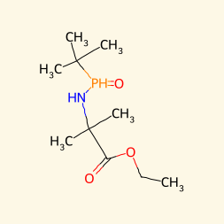 CCOC(=O)C(C)(C)N[PH](=O)C(C)(C)C